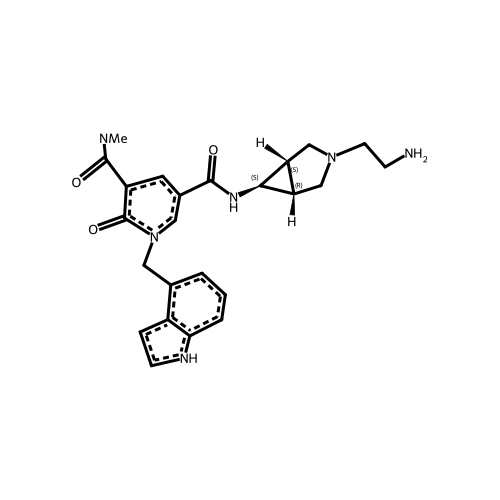 CNC(=O)c1cc(C(=O)N[C@H]2[C@@H]3CN(CCN)C[C@@H]32)cn(Cc2cccc3[nH]ccc23)c1=O